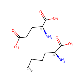 CCCC[C@H](N)C(=O)O.N[C@@H](CCC(=O)O)C(=O)O